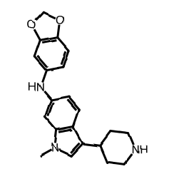 Cn1cc(C2CCNCC2)c2ccc(Nc3ccc4c(c3)OCO4)cc21